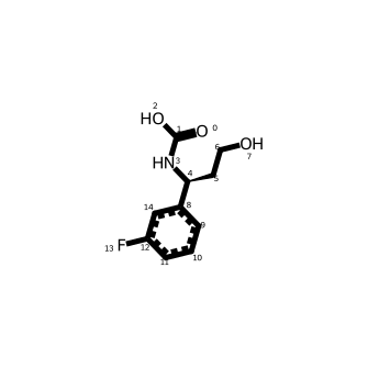 O=C(O)N[C@@H](CCO)c1cccc(F)c1